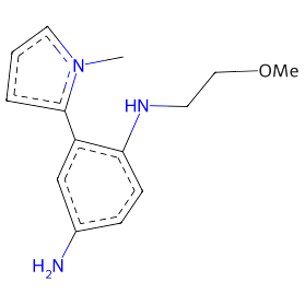 COCCNc1ccc(N)cc1-c1cccn1C